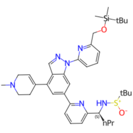 CCC[C@H](N[S+]([O-])C(C)(C)C)c1cccc(-c2cc(C3=CCN(C)CC3)c3cnn(-c4cccc(CO[Si](C)(C)C(C)(C)C)n4)c3c2)n1